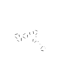 O=C(NCc1ccccn1)c1ccc2n1Cc1ccccc1N(C(=O)c1ccc(-c3cccc4ccccc34)cc1Cl)C2